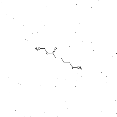 CCOC(=O)CCCCSC